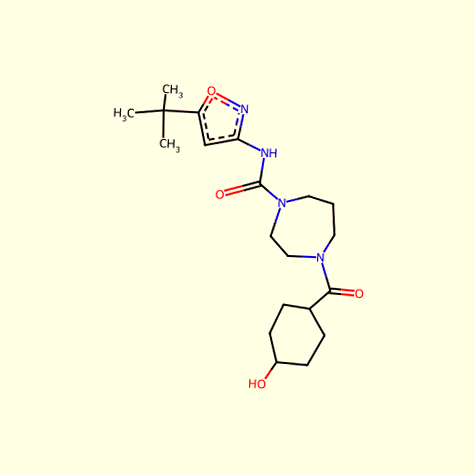 CC(C)(C)c1cc(NC(=O)N2CCCN(C(=O)C3CCC(O)CC3)CC2)no1